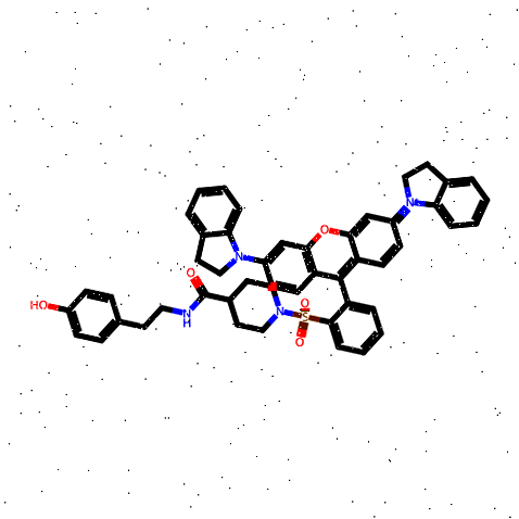 O=C(NCCc1ccc(O)cc1)C1CCN(S(=O)(=O)c2ccccc2-c2c3cc/c(=[N+]4/CCc5ccccc54)cc-3oc3cc(N4CCc5ccccc54)ccc23)CC1